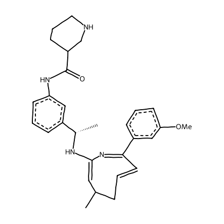 COc1cccc(C2=N/C(N[C@@H](C)c3cccc(NC(=O)C4CCCNC4)c3)=C\C(C)C\C=C\2)c1